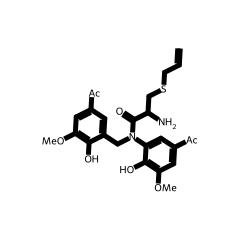 C=CCSCC(N)C(=O)N(Cc1cc(C(C)=O)cc(OC)c1O)c1cc(C(C)=O)cc(OC)c1O